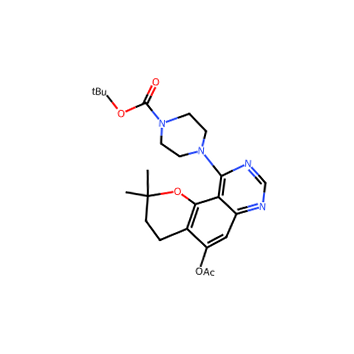 CC(=O)Oc1cc2ncnc(N3CCN(C(=O)OC(C)(C)C)CC3)c2c2c1CCC(C)(C)O2